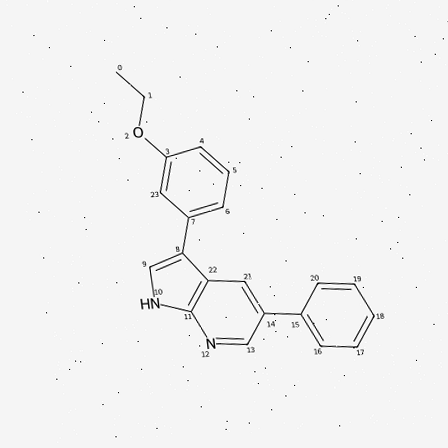 CCOc1cccc(-c2c[nH]c3ncc(-c4ccccc4)cc23)c1